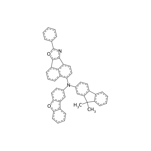 CC1(C)c2ccccc2-c2ccc(N(c3ccc4oc5ccccc5c4c3)c3ccc4c5c(cccc35)-c3oc(-c5ccccc5)nc3-4)cc21